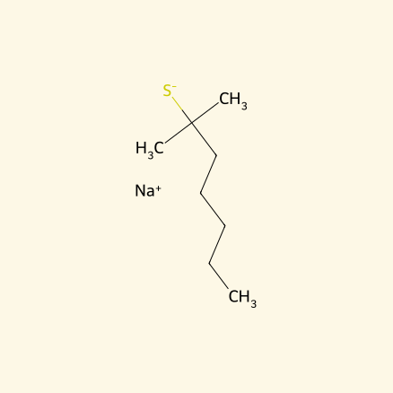 CCCCCC(C)(C)[S-].[Na+]